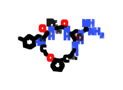 Cc1cccc(C[C@H]2NCCOc3ccccc3C[C@@H](C)CNC(=O)[C@H](CNC(=N)N)NC(=O)[C@@H](C(C)C)NC2=O)c1